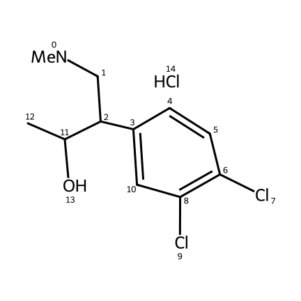 CNCC(c1ccc(Cl)c(Cl)c1)C(C)O.Cl